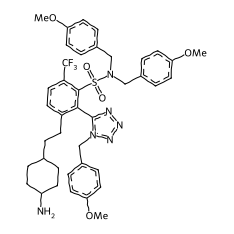 COc1ccc(CN(Cc2ccc(OC)cc2)S(=O)(=O)c2c(C(F)(F)F)ccc(CCC3CCC(N)CC3)c2-c2nnnn2Cc2ccc(OC)cc2)cc1